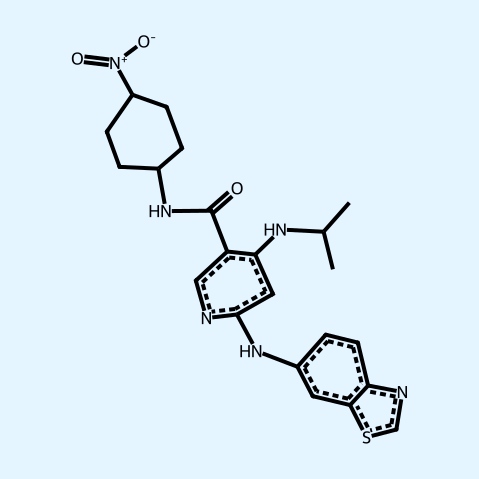 CC(C)Nc1cc(Nc2ccc3ncsc3c2)ncc1C(=O)NC1CCC([N+](=O)[O-])CC1